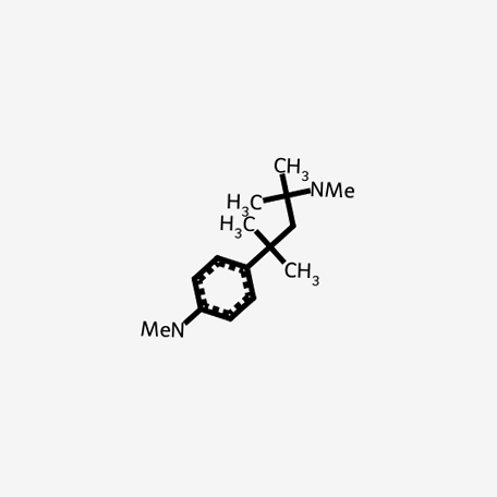 CNc1ccc(C(C)(C)CC(C)(C)NC)cc1